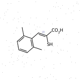 Cc1cccc(C)c1/C=C(\S)C(=O)O